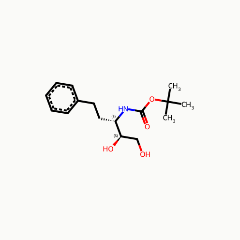 CC(C)(C)OC(=O)N[C@@H](CCc1ccccc1)[C@H](O)CO